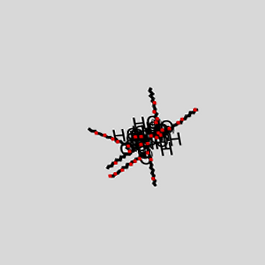 CCCCCCCCCCCCCCCC(=O)O[C@H](CCCCCCCCCCCCC)CC(=O)N[C@H]1C(OC(=O)C[C@@H](CCCCCCCCCCCCC)OC(=O)CCCCCCCCCCCCCCC)[C@H](OP(=O)(O)O)C(CO)O[C@H]1OCC1OC(O)C(NC(=O)C[C@H](O)CCCCCCCCCCCCC)[C@@H](OC(=O)C[C@H](O)CCCCCCCCCCCCC)[C@@H]1O